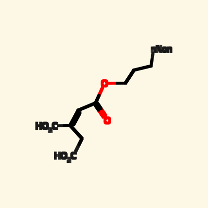 CCCCCCCCCCCCOC(=O)C=C(CC(=O)O)C(=O)O